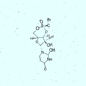 C#C[C@@]1(O)[C@@H]2O[P@](=O)(OC(C)C)OC[C@H]2O[C@H]1N1C=CC(=O)NC1O